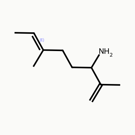 C=C(C)C(N)CC/C(C)=C/C